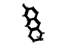 Cc1ccc2cc3c(nc2c1)CCNC3